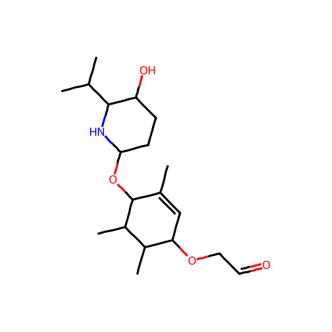 CC1=CC(OCC=O)C(C)C(C)C1OC1CCC(O)C(C(C)C)N1